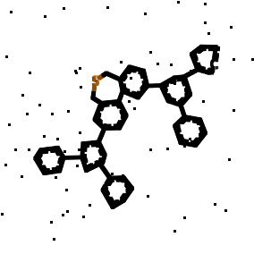 c1ccc(-c2cc(-c3ccccc3)cc(-c3ccc4c(c3)CSCc3ccc(-c5cc(-c6ccccc6)cc(-c6ccccc6)c5)cc3-4)c2)cc1